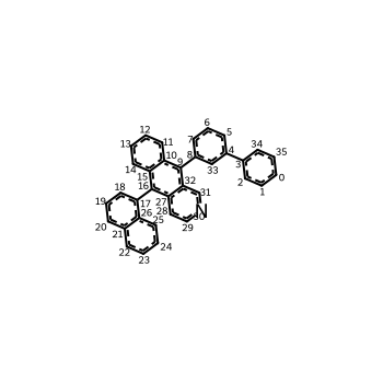 c1ccc(-c2cccc(-c3c4ccccc4c(-c4cccc5ccccc45)c4ccncc34)c2)cc1